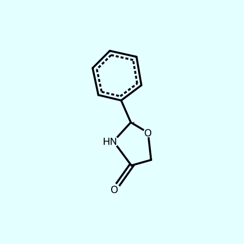 O=C1CO[C](c2ccccc2)N1